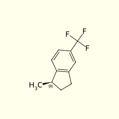 C[C@@H]1CCc2cc(C(F)(F)F)ccc21